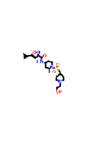 C[C@H]1C[C@@H](NC(=O)c2cc(C3CC3)on2)CCN1S(=O)(=O)CC1CCN(CCO)CC1